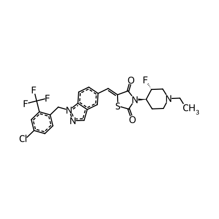 CCN1CC[C@@H](N2C(=O)SC(=Cc3ccc4c(cnn4Cc4ccc(Cl)cc4C(F)(F)F)c3)C2=O)[C@H](F)C1